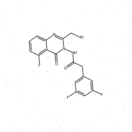 CC(C)Cc1nc2cccc(F)c2c(=O)n1NC(=O)Cc1cc(F)cc(F)c1